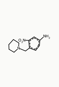 Nc1ccc(CN2CCCCC2)c([N+](=O)[O-])c1